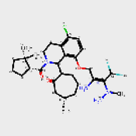 C[C@H]1CCCC(C2c3c(OC/C(N)=C(\C(F)F)N(C)N)ccc(Cl)c3CCN2C(=O)[C@@H]2CCC[C@]2(C)C(=O)O)C(=O)C1